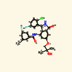 CC(C)(O)COc1cc(NC(=O)c2cc(F)cc(C(F)(F)F)c2)c2c(c1)C(=O)N[C@@H]2c1cc(F)ccc1Cl